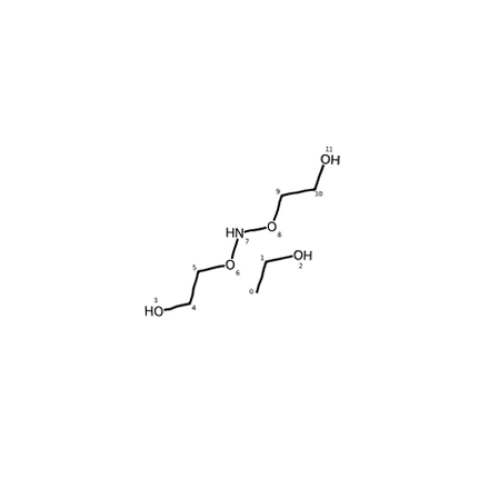 CCO.OCCONOCCO